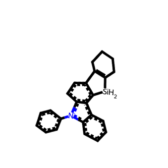 c1ccc(-n2c3ccccc3c3c4c(ccc32)C2=C(CCCC2)[SiH2]4)cc1